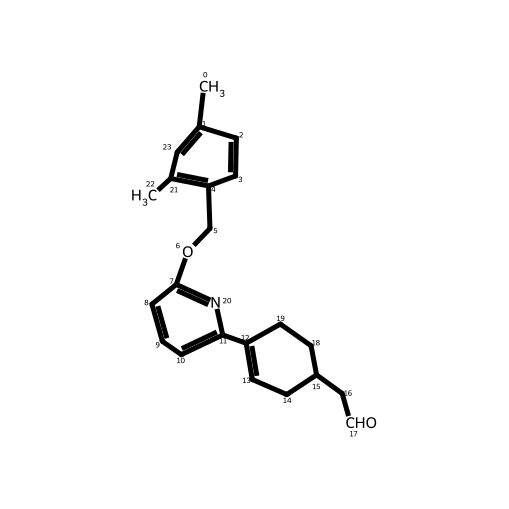 Cc1ccc(COc2cccc(C3=CCC(CC=O)CC3)n2)c(C)c1